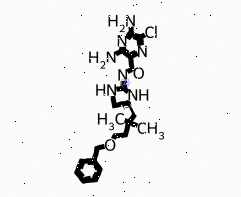 CC(C)(CCOCc1ccccc1)C[C@H]1CN/C(=N/C(=O)c2nc(Cl)c(N)nc2N)N1